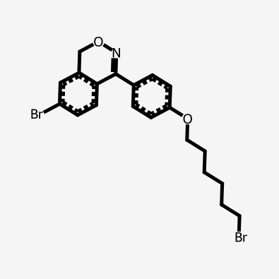 BrCCCCCCOc1ccc(C2=NOCc3cc(Br)ccc32)cc1